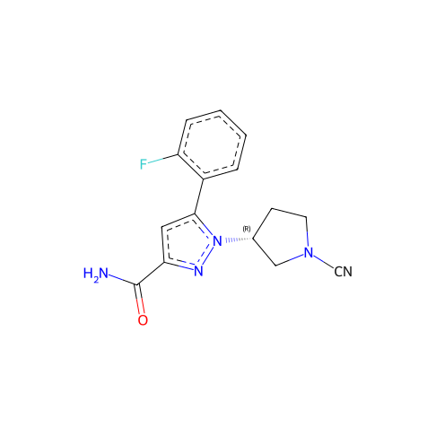 N#CN1CC[C@@H](n2nc(C(N)=O)cc2-c2ccccc2F)C1